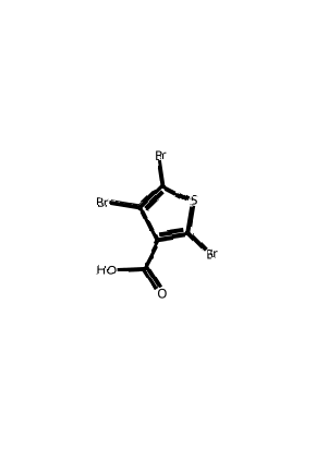 O=C(O)c1c(Br)sc(Br)c1Br